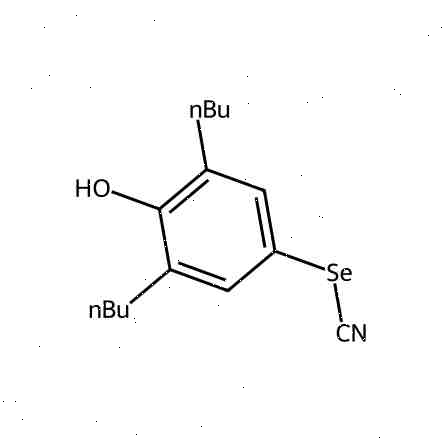 CCCCc1cc([Se]C#N)cc(CCCC)c1O